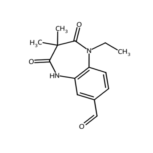 CCN1C(=O)C(C)(C)C(=O)Nc2cc(C=O)ccc21